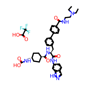 CCN(CC)CCNC(=O)c1ccc(-c2cccc(C[C@H](NC(=O)[C@H]3CC[C@H](CNC(=O)O)CC3)C(=O)Nc3ccc4cn[nH]c4c3)c2)cc1.O=C(O)C(F)(F)F